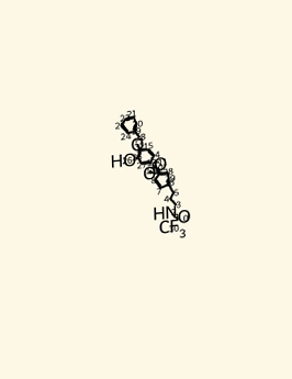 O=C(NCCCc1ccc(S(=O)(=O)c2ccc(OCc3ccccc3)c(O)c2)cc1)C(F)(F)F